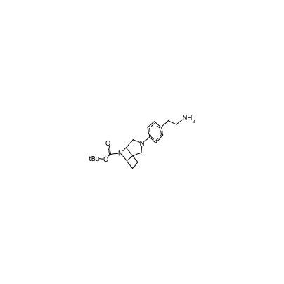 CC(C)(C)OC(=O)N1C2CCC23CN(c2ccc(CCN)cc2)CC13